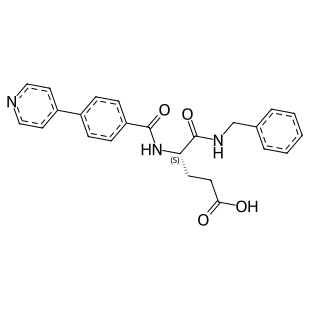 O=C(O)CC[C@H](NC(=O)c1ccc(-c2ccncc2)cc1)C(=O)NCc1ccccc1